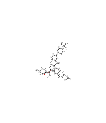 CCN(CC)CCN(Cc1ccc(-c2ccc(C(F)(F)F)cc2)cc1)C(C=O)n1cc(CC(=O)OC(C)C)c(=O)nc1SCc1ccc(F)cc1